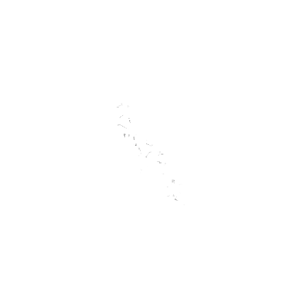 COc1cc(NC(=O)Nc2ccc(C(F)(F)F)cc2)ccc1C(=O)NCCCN1CCN(C)CC1